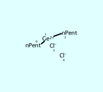 CCCC[CH2][Ge+2][CH2]CCCC.[Cl-].[Cl-]